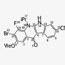 COc1cc2c(=O)c3c4ccc(C#N)cc4[nH]c3n(C(C)C)c2c(F)c1Br